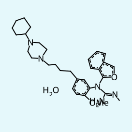 CN=C(N)N(c1cc(CCCCN2CCN(C3CCCCC3)CC2)ccc1OC)c1occ2ccccc12.O